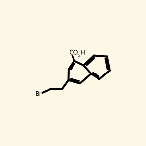 O=C(O)c1cc(CCBr)cc2ccccc12